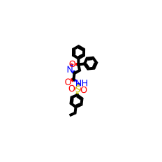 CCc1ccc(S(=O)(=O)NC(=O)C2=NOC(c3ccccc3)(c3ccccc3)C2)cc1